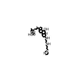 CC(C)[C@@H](CC[C@@H](C)[C@H]1CCC2C3C(CC[C@@]21C)[C@@]1(C)CC[C@H](NCCCNCCCCN2C=NCCC2)C[C@H]1C[C@H]3O)OS(=O)(=O)O